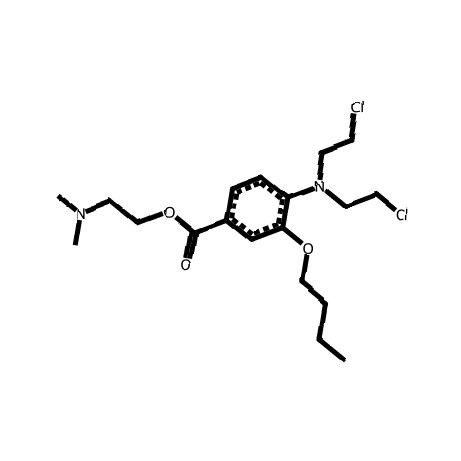 CCCCOc1cc(C(=O)OCCN(C)C)ccc1N(CCCl)CCCl